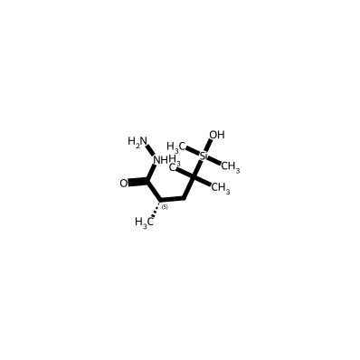 C[C@@H](CC(C)(C)[Si](C)(C)O)C(=O)NN